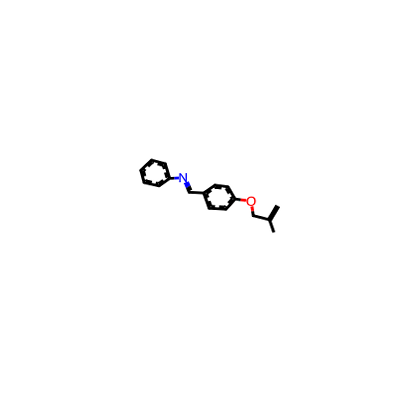 C=C(C)COc1ccc(/C=N/c2ccccc2)cc1